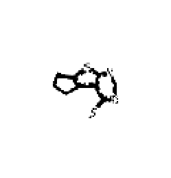 S=c1ocnc2sc3c(c12)CCC3